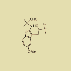 CCC(C)(C)C(O)Cc1c(CC(C)(C)C=O)oc2ccc(OC)cc12